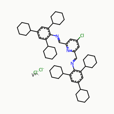 Clc1cc(C=Nc2c(C3CCCCC3)cc(C3CCCCC3)cc2C2CCCCC2)nc(C=Nc2c(C3CCCCC3)cc(C3CCCCC3)cc2C2CCCCC2)c1.[Cl-].[Cl-].[V+2]